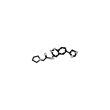 O=C(CN1CCCC1)Nc1cc2cc(-c3cnco3)ccc2nn1